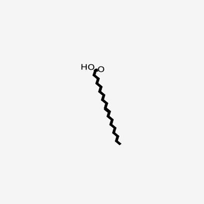 CCCCCCCCC=CCCCCCCCCC(=O)O